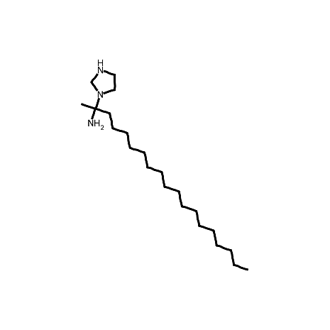 CCCCCCCCCCCCCCCCCC(C)(N)N1CCNC1